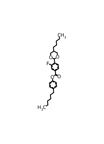 CCCCCCc1ccc(OC(=O)c2ccc(C3OCC(CCCCC)CO3)c(F)c2)cc1